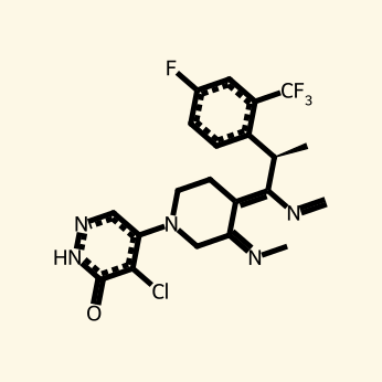 C=N/C(=C1/CCN(c2cn[nH]c(=O)c2Cl)C/C1=N/C)[C@H](C)c1ccc(F)cc1C(F)(F)F